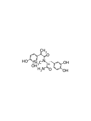 C=C(C(=O)N(C)[C@H](Cc1ccc(O)c(O)c1)C(N)=O)c1ccc(O)c(O)c1